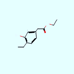 CCOC(=O)Cc1ccc(CC)c(O)c1